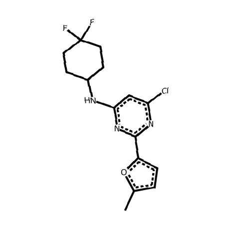 Cc1ccc(-c2nc(Cl)cc(NC3CCC(F)(F)CC3)n2)o1